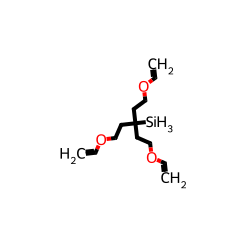 C=COCCC([SiH3])(CCOC=C)CCOC=C